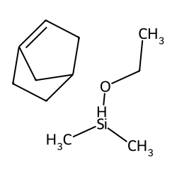 C1=C2CCC(C1)C2.CCO[SiH](C)C